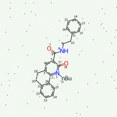 CCCCn1c2c(cc(C(=O)NCCc3ccccc3)c1=O)CCc1ccccc1-2